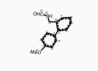 COc1ccc(-c2ccccc2CNC=O)cc1